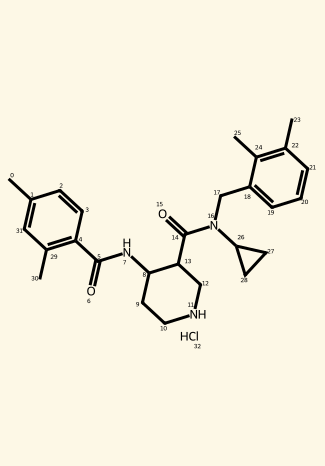 Cc1ccc(C(=O)NC2CCNCC2C(=O)N(Cc2cccc(C)c2C)C2CC2)c(C)c1.Cl